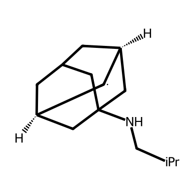 CC(C)CNC12CC3C[C@@H]([CH][C@@H](C3)C1)C2